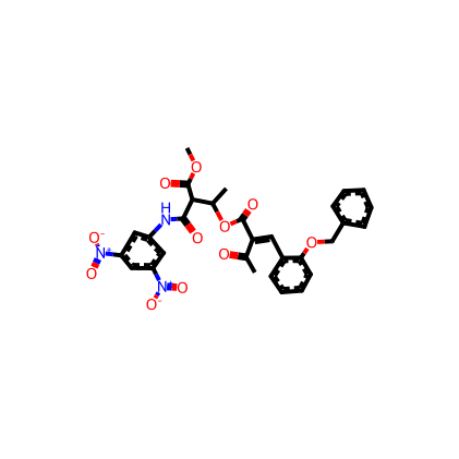 COC(=O)C(C(=O)Nc1cc([N+](=O)[O-])cc([N+](=O)[O-])c1)C(C)OC(=O)C(=Cc1ccccc1OCc1ccccc1)C(C)=O